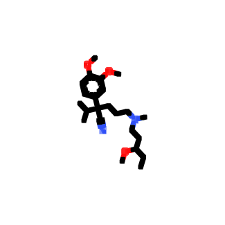 CCC(CCN(C)CCCC(C#N)(c1ccc(OC)c(OC)c1)C(C)C)OC